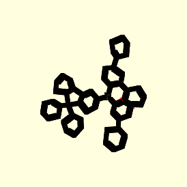 c1ccc(-c2cccc(N(c3ccc4c(c3)-c3ccccc3C4(c3ccccc3)c3ccccc3)c3ccc(-c4ccccc4)cc3-c3ccccc3)c2)cc1